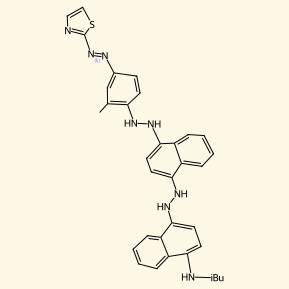 CCC(C)Nc1ccc(NNc2ccc(NNc3ccc(/N=N/c4nccs4)cc3C)c3ccccc23)c2ccccc12